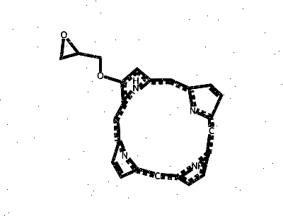 C1=Cc2cc3cc(OCC4CO4)c(cc4nc(cc5ccc(cc1n2)[nH]5)C=C4)[nH]3